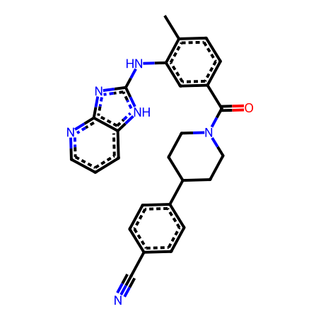 Cc1ccc(C(=O)N2CCC(c3ccc(C#N)cc3)CC2)cc1Nc1nc2ncccc2[nH]1